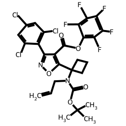 C=CCN(C(=O)OC(C)(C)C)C1(c2onc(-c3c(Cl)cc(Cl)cc3Cl)c2C(=O)Oc2c(F)c(F)c(F)c(F)c2F)CCC1